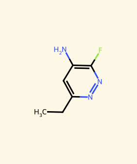 CCc1cc(N)c(F)nn1